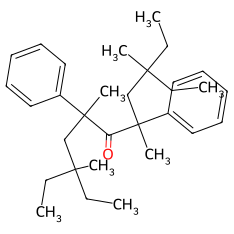 CCC(C)(CC)CC(C)(C(=O)C(C)(CC(C)(CC)CC)c1ccccc1)c1ccccc1